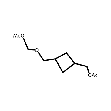 COCOCC1CC(COC(C)=O)C1